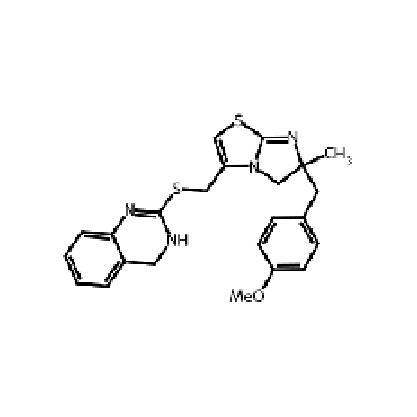 COc1ccc(CC2(C)CN3C(CSC4=Nc5ccccc5CN4)=CSC3=N2)cc1